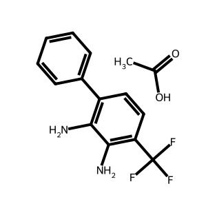 CC(=O)O.Nc1c(-c2ccccc2)ccc(C(F)(F)F)c1N